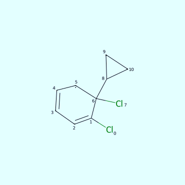 ClC1=CC=C[CH]C1(Cl)C1CC1